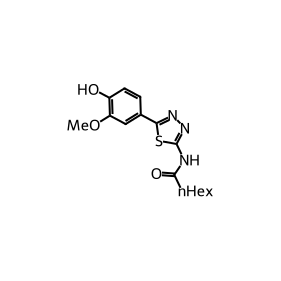 CCCCCCC(=O)Nc1nnc(-c2ccc(O)c(OC)c2)s1